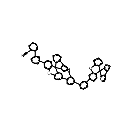 N#Cc1ccccc1-c1cccc(-c2ccc3c(c2)Oc2ccc(-c4ccc(-c5cccc(-c6ccc7c(c6)Oc6ccccc6C76c7ccccc7-c7ccccc76)c5)cc4C#N)cc2C32c3ccccc3-c3ccccc32)c1